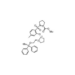 Cc1ccc(S(=O)(=O)N2CCC[C@H]2C(=O)OC(C)(C)C)c(O[C@@H]2CCC[C@H]2CCO[Si](c2ccccc2)(c2ccccc2)C(C)(C)C)c1